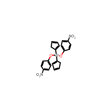 O=[N+]([O-])c1ccc([O][Zr]([O]c2ccc([N+](=O)[O-])cc2)([C]2=CC=CC2)[C]2=CC=CC2)cc1